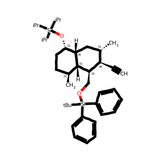 C#C[C@H]1[C@@H](CO[Si](c2ccccc2)(c2ccccc2)C(C)(C)C)[C@H]2[C@@H](C[C@@H]1C)[C@@H](O[Si](C(C)C)(C(C)C)C(C)C)CC[C@@H]2C